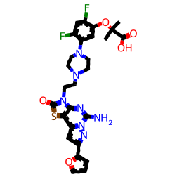 CC(C)(Oc1cc(N2CCN(CCn3c(=O)sc4c3nc(N)n3nc(-c5ccco5)cc43)CC2)c(F)cc1F)C(=O)O